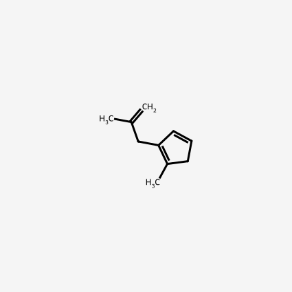 C=C(C)CC1=C(C)CC=C1